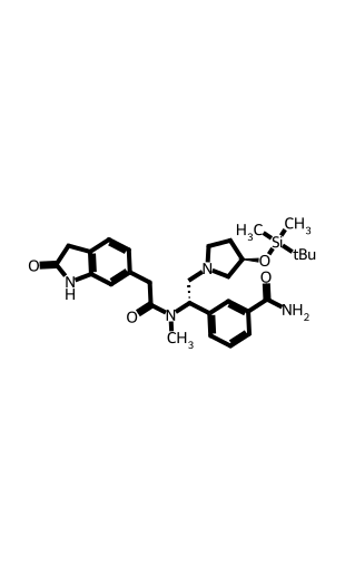 CN(C(=O)Cc1ccc2c(c1)NC(=O)C2)[C@H](CN1CC[C@@H](O[Si](C)(C)C(C)(C)C)C1)c1cccc(C(N)=O)c1